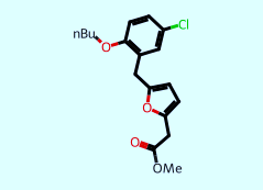 CCCCOc1ccc(Cl)cc1Cc1ccc(CC(=O)OC)o1